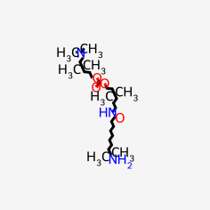 CN(C)CCC(C)(C)CCCOC(=O)OCCC(C)(C)CCCNC(=O)CCCCCCCC(C)(C)N